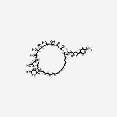 CC1/C=C/C=C/C=C/C=C/C=C/C=C/C=C/C(OC2CCC(O)CO2)CC2OC(O)(CC(O)CC(O)CC(O)CC(O)CC(O)CC(O)CC(=O)OC1C(C)CCC(O)CC(=O)c1ccc(N)cc1)CC(O)C2C(=O)O